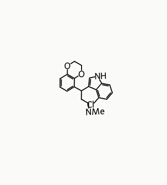 CNCCC(c1cccc2c1OCCO2)c1c[nH]c2cccc(Cl)c12